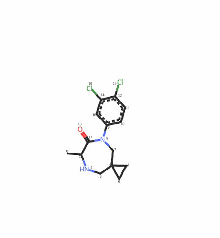 CC1NCC2(CC2)CN(c2ccc(Cl)c(Cl)c2)C1=O